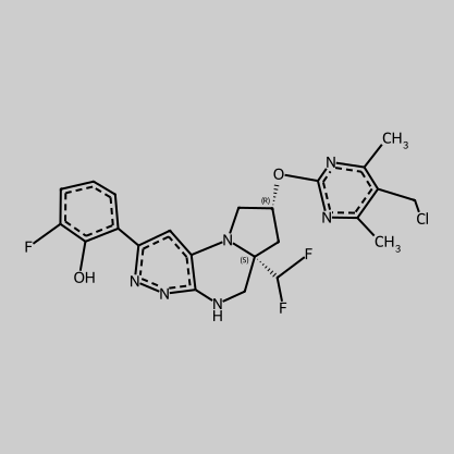 Cc1nc(O[C@H]2CN3c4cc(-c5cccc(F)c5O)nnc4NC[C@]3(C(F)F)C2)nc(C)c1CCl